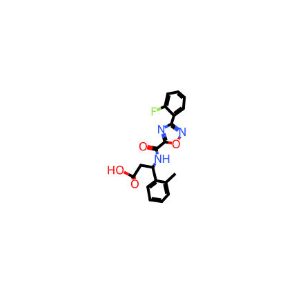 Cc1ccccc1C(CC(=O)O)NC(=O)c1nc(-c2ccccc2F)no1